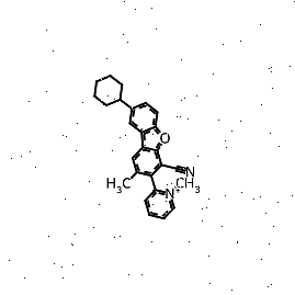 Cc1cc2c(oc3ccc(C4CCCCC4)cc32)c(C#N)c1-c1cccc[n+]1C